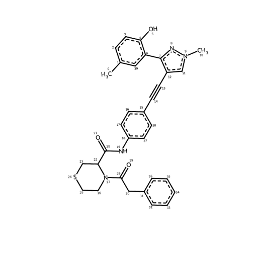 Cc1ccc(O)c(-c2nn(C)cc2C#Cc2ccc(NC(=O)C3CSCCN3C(=O)Cc3ccccc3)cc2)c1